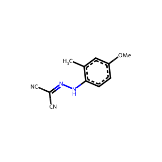 COc1ccc(NN=C(C#N)C#N)c(C)c1